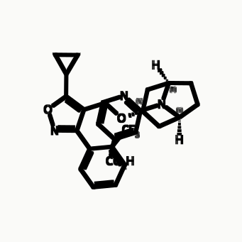 O=C(O)c1ccnc(N2[C@@H]3CC[C@H]2C[C@H](OCc2c(-c4ccccc4C(F)(F)F)noc2C2CC2)C3)c1